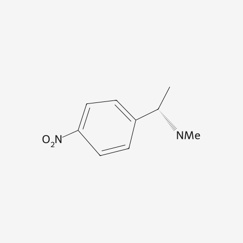 CN[C@@H](C)c1ccc([N+](=O)[O-])cc1